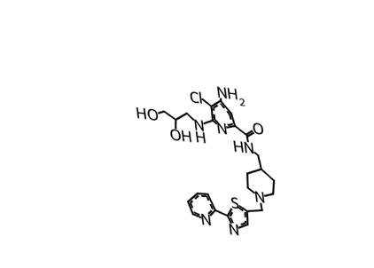 Nc1cc(C(=O)NCC2CCN(Cc3cnc(-c4ccccn4)s3)CC2)nc(NCC(O)CO)c1Cl